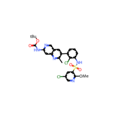 COc1ncc(Cl)cc1S(=O)(=O)Nc1cccc(-c2cc3cnc(NC(=O)OC(C)(C)C)cc3nc2C)c1Cl